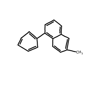 Cc1ccc2c(-c3cc[c]cc3)cccc2c1